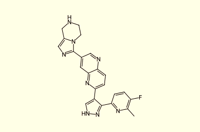 Cc1nc(-c2n[nH]cc2-c2ccc3ncc(-c4ncc5n4CCNC5)cc3n2)ccc1F